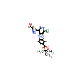 CC(C)(C)OC(=O)c1ccc(Nc2cc(Cl)ncc2-c2nnc(C=O)s2)cc1